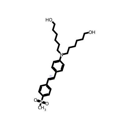 CS(=O)(=O)c1ccc(/C=C/c2ccc(N(CCCCCCO)CCCCCCO)cc2)cc1